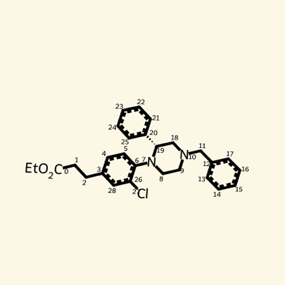 CCOC(=O)CCc1ccc(N2CCN(Cc3ccccc3)C[C@H]2c2ccccc2)c(Cl)c1